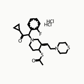 CC(=O)SC1CCN(C(C(=O)C2CC2)c2ccccc2F)CC1=CCN1CCSCC1.Cl.Cl